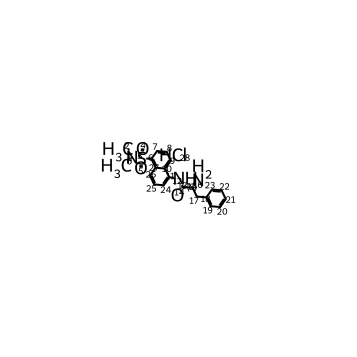 CN(C)S(=O)(=O)c1cccc2c(NC(=O)[C@@H](N)Cc3ccccc3)cccc12.Cl